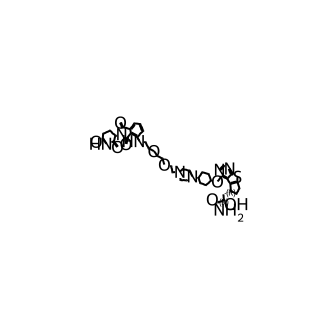 NC(=O)[C@H](O)C[C@H]1CCc2sc3ncnc(O[C@H]4CC[C@H](N5CCN(CCOCCOCCNc6cccc7c6C(=O)N(C6CCC(=O)NC6=O)C7=O)CC5)CC4)c3c21